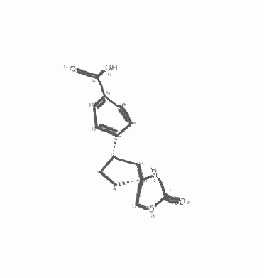 O=C1N[C@@]2(CC[C@H](c3ccc(C(=O)O)cc3)C2)CO1